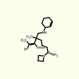 CCCCCCC(=C(C)C(C)C)C(C)(CCC[C@@H](N)N1CCC1)CNC1C=CCCC1